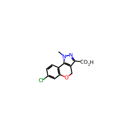 Cn1nc(C(=O)O)c2c1-c1ccc(Cl)cc1OC2